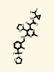 Cc1nc(NCc2cccc(C(F)(F)[C@@H]3CCCO3)c2F)c(C2OCCO2)c(C(F)C(=O)NC2(C(F)F)CC2)n1